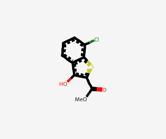 COC(=O)c1sc2c(Cl)cccc2c1O